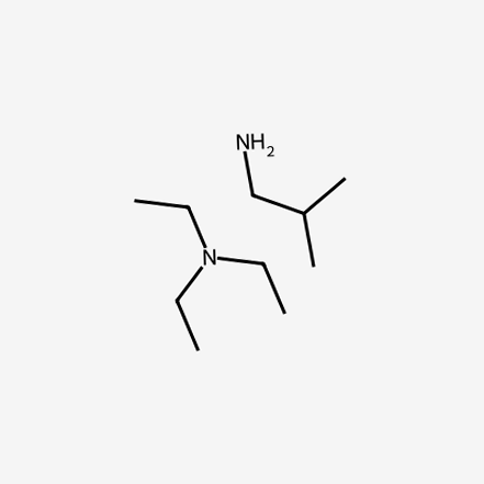 CC(C)CN.CCN(CC)CC